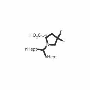 CCCCCCCC(CCCCCCC)N1CC(F)(F)C[C@H]1C(=O)O